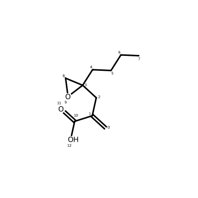 C=C(CC1(CCCC)CO1)C(=O)O